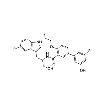 CCCOc1ccc(-c2cc(O)cc(F)c2)cc1C(=O)NC(CO)Cc1c[nH]c2ccc(F)cc12